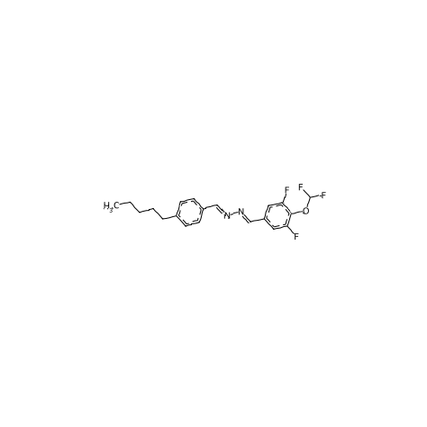 CCCCCc1ccc(C=NN=Cc2cc(F)c(OC(F)F)c(F)c2)cc1